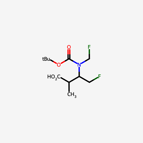 CC(C(=O)O)C(CF)N(CF)C(=O)OC(C)(C)C